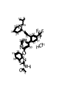 CC(=O)Nc1nc2c(Oc3cc(-c4ccc(C(F)(F)F)cc4C#C[C@@H]4CCCN4CC(C)C)ncn3)cccc2s1.Cl